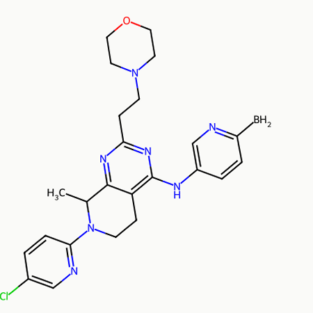 Bc1ccc(Nc2nc(CCN3CCOCC3)nc3c2CCN(c2ccc(Cl)cn2)C3C)cn1